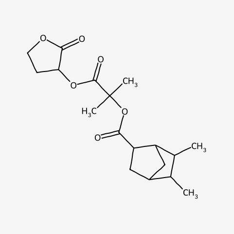 CC1C2CC(C(=O)OC(C)(C)C(=O)OC3CCOC3=O)C(C2)C1C